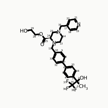 CC(O)(c1ccc(-c2ccc(CN3CCN(Cc4ccncc4)C[C@@H]3C(=O)OCCO)cc2)cc1)C(F)(F)F